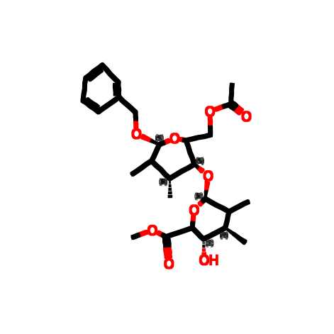 COC(=O)C1O[C@@H](O[C@@H]2C(COC(C)=O)O[C@H](OCc3ccccc3)C(C)[C@H]2C)C(C)[C@@H](C)[C@@H]1O